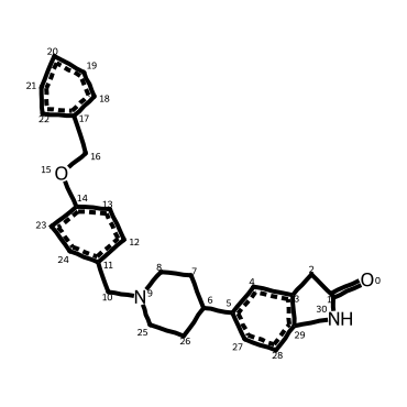 O=C1Cc2cc(C3CCN(Cc4ccc(OCc5ccccc5)cc4)CC3)ccc2N1